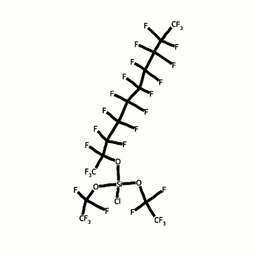 FC(F)(F)C(F)(F)O[Si](Cl)(OC(F)(F)C(F)(F)F)OC(F)(C(F)(F)F)C(F)(F)C(F)(F)C(F)(F)C(F)(F)C(F)(F)C(F)(F)C(F)(F)C(F)(F)F